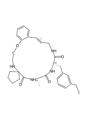 C[C@@H]1NC(=O)C2(CCCC2)NCCOc2ccccc2/C=C/CNC(=O)[C@H](Cc2cccc(CI)c2)NC1=O